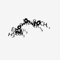 CCN1C(=O)C(C)(C)C(=O)N(C)c2cc(OCCCc3cc(CNCCN(C)C(=O)c4ccc(C)cc4)ccn3)ccc21